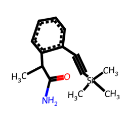 CC(C(N)=O)c1ccccc1C#C[Si](C)(C)C